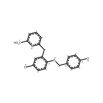 O=C(O)c1cccc(Cc2cc(Cl)ccc2OCc2ccc(Cl)cc2)n1